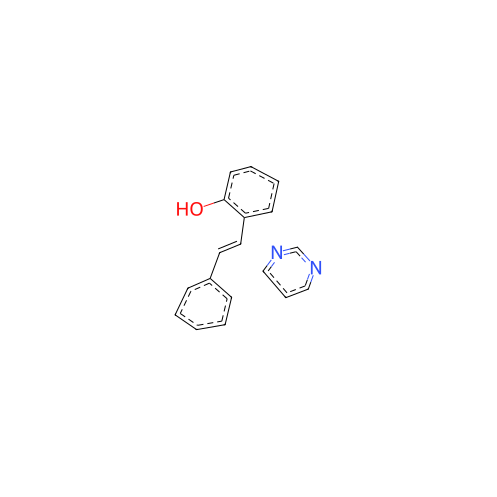 Oc1ccccc1C=Cc1ccccc1.c1cncnc1